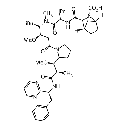 CC[C@H](C)[C@@H]([C@@H](CC(=O)N1CCCC1[C@H](OC)[C@@H](C)C(=O)N[C@@H](Cc1ccccc1)c1ncccn1)OC)N(C)C(=O)C(NC(=O)[C@@H]1[C@H]2CC[C@H](C2)N1C(=O)O)C(C)C